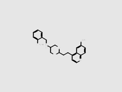 COc1ccc2nccc(CCC3OCC(NCc4ccccc4OC)CO3)c2c1